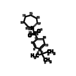 CC(C)(C)c1ccc(S(=O)(=O)N2CCCCCC2)cc1